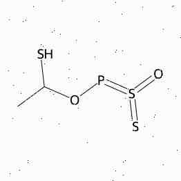 CC(S)OP=S(=O)=S